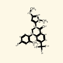 COc1cc(N2CN(c3ccc(F)cc3C)c3cc(C(F)(F)F)ccc3C2=O)n(C)n1